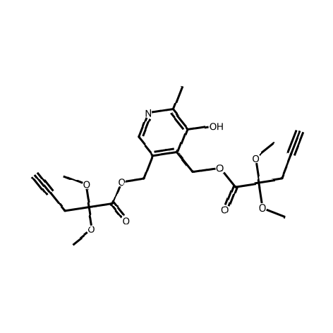 C#CCC(OC)(OC)C(=O)OCc1cnc(C)c(O)c1COC(=O)C(CC#C)(OC)OC